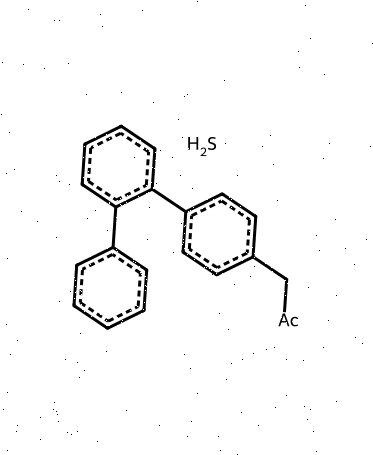 CC(=O)Cc1ccc(-c2ccccc2-c2ccccc2)cc1.S